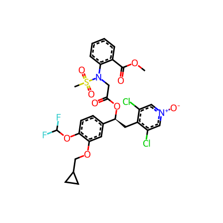 COC(=O)c1ccccc1N(CC(=O)O[C@@H](Cc1c(Cl)c[n+]([O-])cc1Cl)c1ccc(OC(F)F)c(OCC2CC2)c1)S(C)(=O)=O